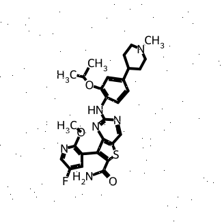 COc1ncc(F)cc1-c1c(C(N)=O)sc2cnc(Nc3ccc(C4CCN(C)CC4)cc3OC(C)C)nc12